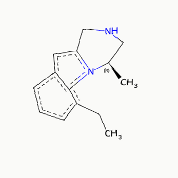 CCc1cccc2cc3n(c12)[C@H](C)CNC3